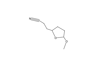 COC1CCC(CCC#N)O1